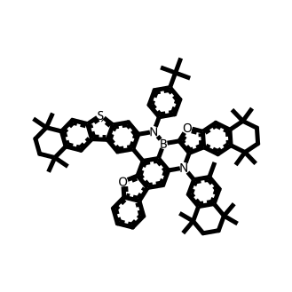 Cc1cc2c(cc1N1c3cc4c(oc5ccccc54)c4c3B(c3oc5cc6c(cc5c31)C(C)(C)CCC6(C)C)N(c1ccc(C(C)(C)C)cc1)c1cc3sc5cc6c(cc5c3cc1-4)C(C)(C)CCC6(C)C)C(C)(C)CCC2(C)C